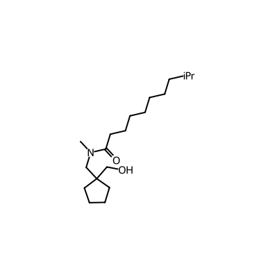 CC(C)CCCCCCCC(=O)N(C)CC1(CO)CCCC1